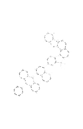 CC1(C)c2cc(-c3ccc(-c4c5ccccc5c(-c5ccccc5)c5ccccc45)c4ccccc34)ccc2-c2c1ccc1ccc3c4ccccc4oc3c21